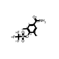 Cc1cc(C(N)=O)cc(C)c1OS(=O)(=O)C(F)(F)F